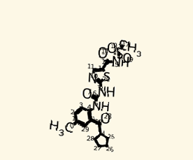 Cc1ccc(NC(=O)Nc2ncc(C(=O)NS(C)(=O)=O)s2)c(C(=O)C2CCCC2)c1